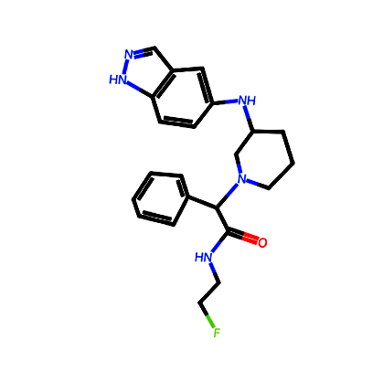 O=C(NCCF)C(c1ccccc1)N1CCCC(Nc2ccc3[nH]ncc3c2)C1